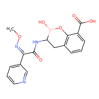 CON=C(C(=O)NC1Cc2cccc(C(=O)O)c2OB1O)c1cccnc1